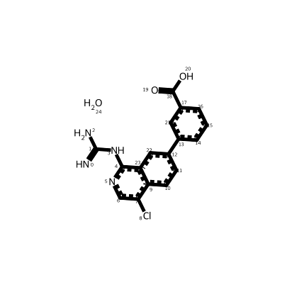 N=C(N)Nc1ncc(Cl)c2ccc(-c3cccc(C(=O)O)c3)cc12.O